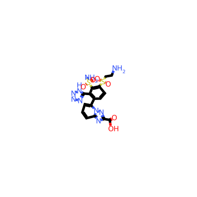 NCCS(=O)(=O)c1ccc(-c2cccc3nc(C(=O)O)nn23)c(-c2nnn[nH]2)c1S(N)(=O)=O